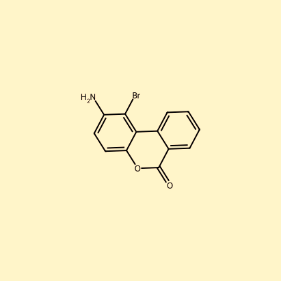 Nc1ccc2oc(=O)c3ccccc3c2c1Br